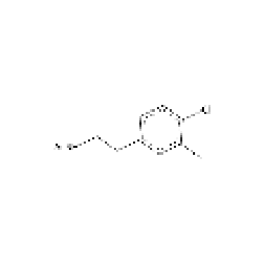 CC(=O)NCCc1ccc(Cl)c(C)c1